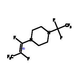 F/C(=C(/F)C(F)(F)F)N1CCN(C(F)(F)C(F)(F)F)CC1